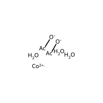 CC(=O)[O-].CC(=O)[O-].O.O.O.[Co+2]